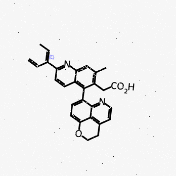 C=C/C(=C\C)c1ccc2c(-c3ccc4c5c(ccnc35)CCO4)c(CC(=O)O)c(C)cc2n1